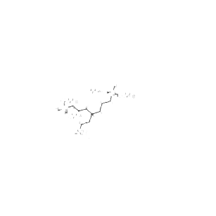 CO[Si](C)(CCCC(CCN)CCC[Si](C)(OC)OC)OC